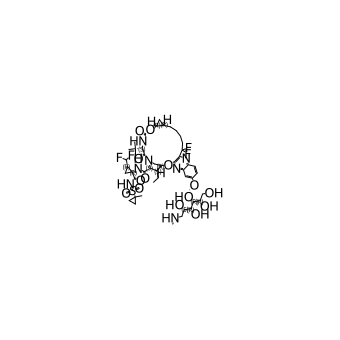 CC[C@@H]1[C@@H]2CN(C(=O)[C@H](C(C)(C)C)NC(=O)O[C@@H]3C[C@H]3CCCCC(F)(F)c3nc4ccc(OC)cc4nc3O2)[C@@H]1C(=O)N[C@]1(C(=O)NS(=O)(=O)C2(C)CC2)C[C@H]1C(F)F.CNC[C@H](O)[C@@H](O)[C@H](O)[C@H](O)CO